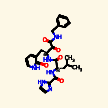 CC(C)C[C@H](NC(=O)c1ncc[nH]1)C(=O)N[C@@H](Cc1ccc[nH]c1=O)C(=O)C(=O)NCc1ccccc1